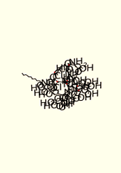 CCCCCCCCCC(=O)NC1C(Oc2c3cc4cc2Oc2ccc(cc2Cl)C(OC2OC(CO)C(O)C(O)C2NC(C)=O)C2NC(=O)C(NC(=O)C4NC(=O)C4NC(=O)C(Cc5ccc(c(Cl)c5)O3)NC(=O)C(N)c3ccc(O)c(c3)Oc3cc(O)cc4c3)c3ccc(O)c(c3)-c3c(OC4OC(CO)C(O)C(O)C4O)cc(O)cc3C(C(=O)O)NC2=O)OC(CO)C(O)C1O